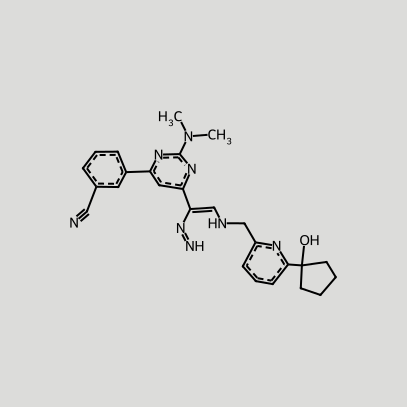 CN(C)c1nc(/C(=C/NCc2cccc(C3(O)CCCC3)n2)N=N)cc(-c2cccc(C#N)c2)n1